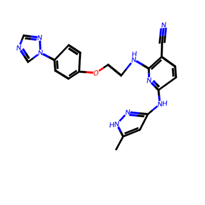 Cc1cc(Nc2ccc(C#N)c(NCCOc3ccc(-n4cncn4)cc3)n2)n[nH]1